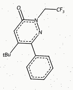 CC(C)(C)c1cc(=O)n(CC(F)(F)F)nc1-c1ccccc1